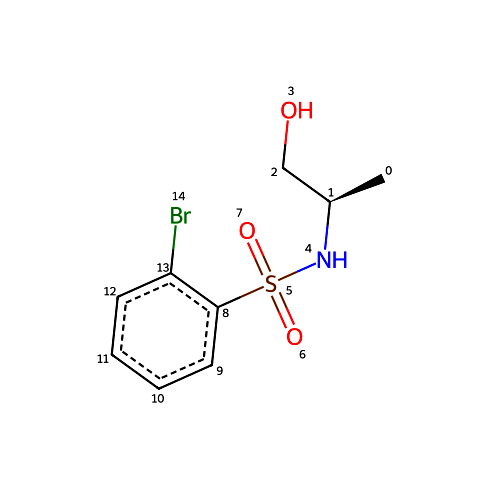 C[C@H](CO)NS(=O)(=O)c1ccccc1Br